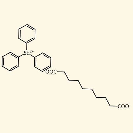 O=C([O-])CCCCCCCCC(=O)[O-].c1cc[c]([Sb+2]([c]2ccccc2)[c]2ccccc2)cc1